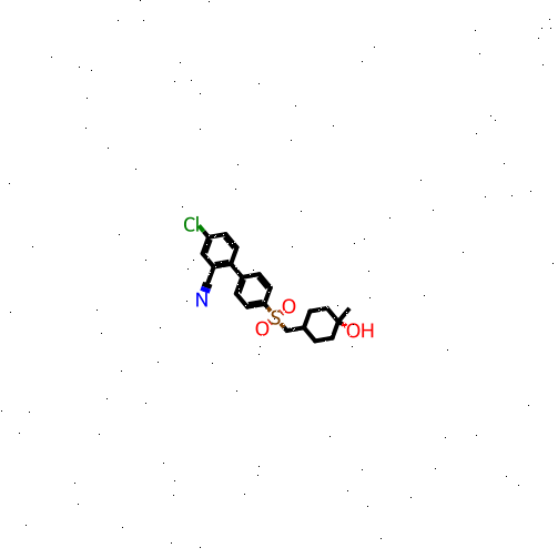 CC1(O)CCC(CS(=O)(=O)c2ccc(-c3ccc(Cl)cc3C#N)cc2)CC1